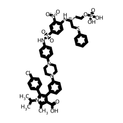 Cc1c(C(=O)O)c(-c2cccc(N3CCN(c4ccc(NS(=O)(=O)c5ccc(N[C@H](CCOP(=O)(O)O)CSc6ccccc6)c([N+](=O)[O-])c5)cc4)CC3)c2)c(-c2ccc(Cl)cc2)n1C(C)C